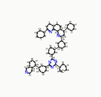 c1ccc(-c2ccc3ccc4c(-c5ccccc5)cc(-c5cccc(-c6cccc(-c7nc(-c8ccccc8)nc(-c8cccc(-c9cccc%10cnccc9%10)c8)n7)c6)c5)nc4c3n2)cc1